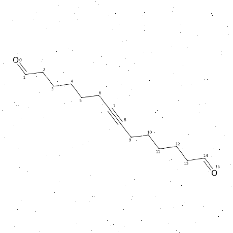 O=CCCCCCC#CCCCCCC=O